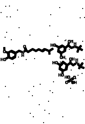 CC(C)(C)NCC(O)c1cc(O)cc(O)c1.CC(C)(C)NCC(O)c1cc(O)cc(O)c1.COc1cc(CNC(=O)CCCC/C=C/C(C)C)ccc1O.O=S(=O)(O)O